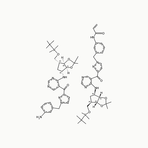 C=CC(=O)Nc1cccc(Cn2ccc(C(=O)c3cncnc3N[C@@H]3C[C@H](CO[Si](C)(C)C(C)(C)C)[C@H]4OC(C)(C)O[C@H]43)n2)c1.CC1(C)O[C@@H]2[C@@H](CO[Si](C)(C)C(C)(C)C)C[C@@H](Nc3ncncc3C(=O)c3ccn(Cc4cccc(N)c4)n3)[C@@H]2O1